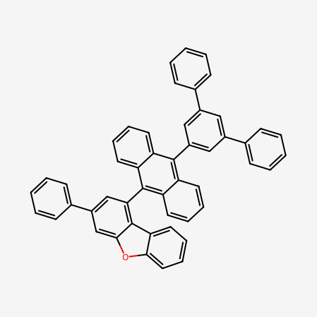 c1ccc(-c2cc(-c3ccccc3)cc(-c3c4ccccc4c(-c4cc(-c5ccccc5)cc5oc6ccccc6c45)c4ccccc34)c2)cc1